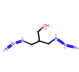 [N-]=[N+]=NCC(CO)CN=[N+]=[N-]